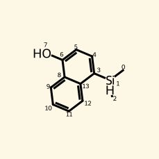 C[SiH](C)c1ccc(O)c2ccccc12